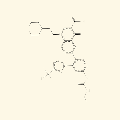 CCNC(=O)Nc1cc(-c2nc(C(F)(F)F)cs2)c(-c2cc3c(=O)c(C(=O)O)cn(CCC4CCOCC4)c3cn2)cn1